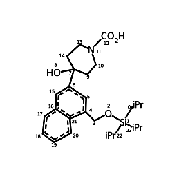 CC(C)[Si](OCc1cc(C2(O)CCN(C(=O)O)CC2)cc2ccccc12)(C(C)C)C(C)C